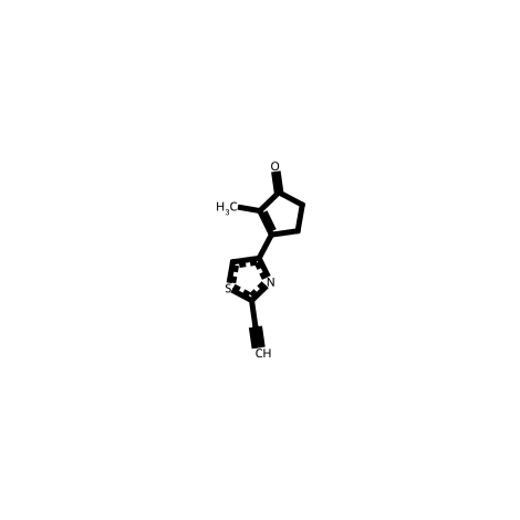 C#Cc1nc(C2=C(C)C(=O)CC2)cs1